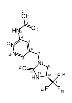 O=C(O)Nc1cc(CN2C[C@@H](C(F)(F)F)NC2=O)cnn1